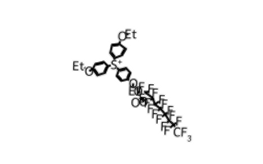 CCOc1ccc([S+](c2ccc(OCC)cc2)c2ccc(OCC)cc2)cc1.O=S(=O)([O-])C(F)(F)C(F)(F)C(F)(F)C(F)(F)C(F)(F)C(F)(F)C(F)(F)C(F)(F)F